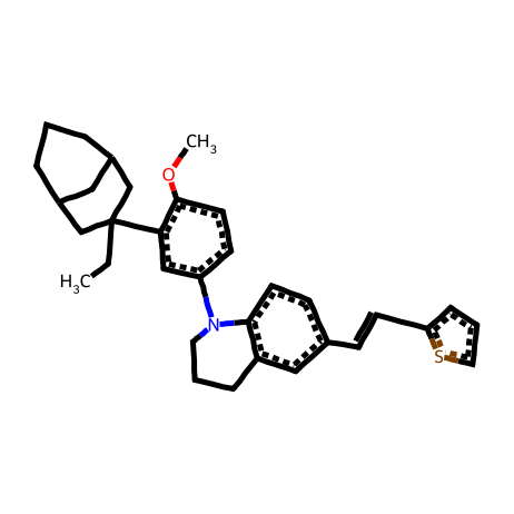 CCC1(c2cc(N3CCCc4cc(/C=C/c5cccs5)ccc43)ccc2OC)CC2CCCC(C2)C1